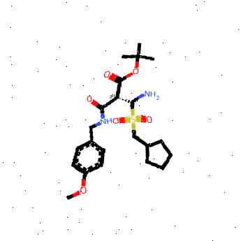 COc1ccc(CNC(=O)[C@H](C(=O)OC(C)(C)C)C(N)S(=O)(=O)CC2CCCC2)cc1